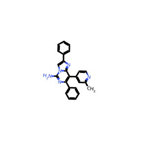 Cc1cc(-c2c(-c3ccccc3)nc(N)n3cc(-c4ccccc4)nc23)ccn1